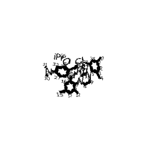 Cc1cc(C)c(N2CCN(c3c(C)cc(C)cc3C)[C]2=[Ru]([Cl])([Cl])=[C](Cl)c2ccc(N(C)C)cc2OC(C)C)c(C)c1